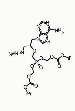 CC(C)OC(=O)OCOP(=O)(CO[C@H](CN=[N+]=[N-])Cn1cnc2c(N)ncnc21)OCOC(=O)OC(C)C